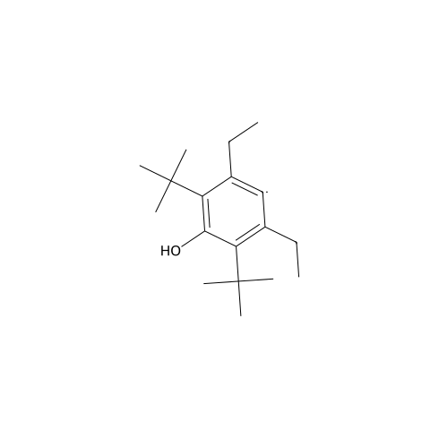 CCc1[c]c(CC)c(C(C)(C)C)c(O)c1C(C)(C)C